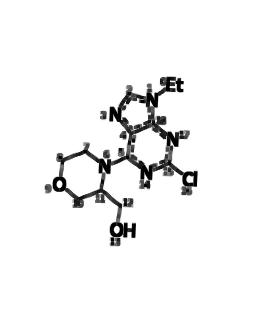 CCn1cnc2c(N3CCOCC3CO)nc(Cl)nc21